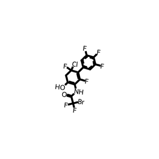 O=C(NC1=C(O)CC(F)(Cl)C(c2cc(F)c(F)c(F)c2)=C1F)C(F)(F)Br